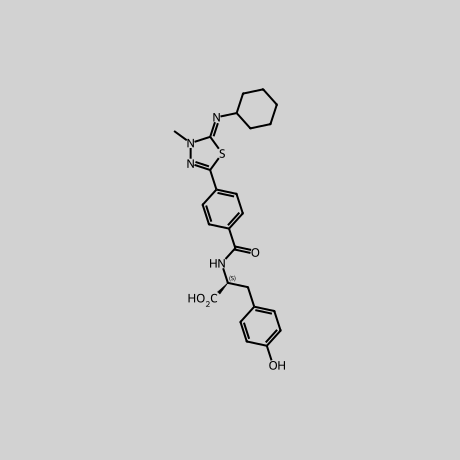 Cn1nc(-c2ccc(C(=O)N[C@@H](Cc3ccc(O)cc3)C(=O)O)cc2)sc1=NC1CCCCC1